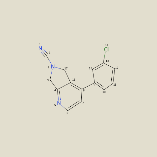 N#CN1Cc2nccc(-c3cccc(Cl)c3)c2C1